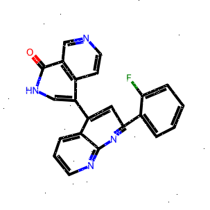 O=c1[nH]cc(-c2cc(-c3ccccc3F)nc3ncccc23)c2ccncc12